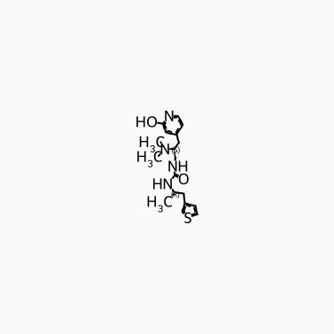 C[C@H](Cc1ccsc1)NC(=O)NC[C@H](Cc1ccnc(O)c1)N(C)C